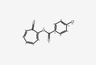 O=C(Oc1cccccc1=O)c1ccc(Cl)cc1